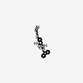 [N-]=[N+]=NCCCOc1ccc(CC(NC(=O)OCC2c3ccccc3-c3ccccc32)C(=O)O)cc1